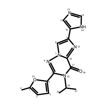 Cc1ccc(-c2nn3cc(-c4cnc[nH]4)nc3c(=O)n2C(C)C)o1